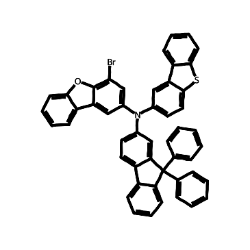 Brc1cc(N(c2ccc3c(c2)C(c2ccccc2)(c2ccccc2)c2ccccc2-3)c2ccc3sc4ccccc4c3c2)cc2c1oc1ccccc12